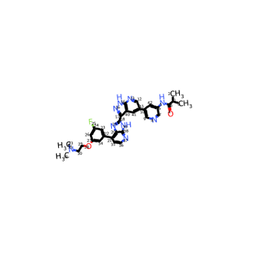 CC(C)C(=O)Nc1cncc(-c2cnc3[nH]nc(-c4nc5c(-c6cc(F)cc(OCCN(C)C)c6)ccnc5[nH]4)c3c2)c1